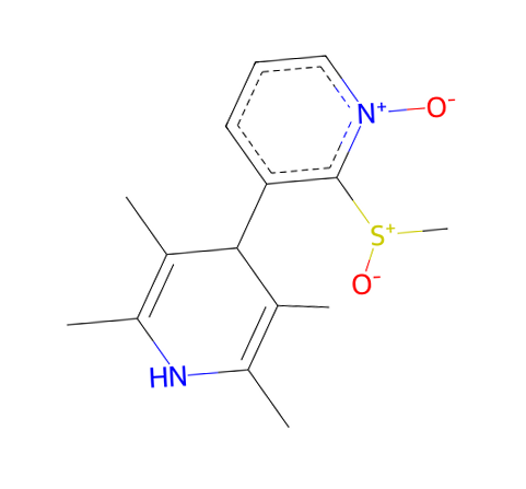 CC1=C(C)C(c2ccc[n+]([O-])c2[S+](C)[O-])C(C)=C(C)N1